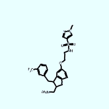 CNCC1Cc2ccc(OCCNS(=O)(=O)c3cnn(C)c3)cc2C1Cc1cccc(C(F)(F)F)c1